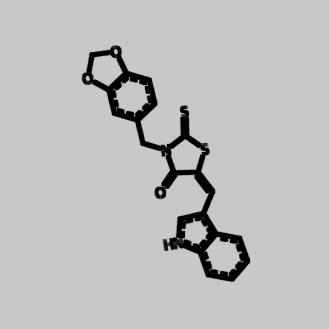 O=C1C(=Cc2c[nH]c3ccccc23)SC(=S)N1Cc1ccc2c(c1)OCO2